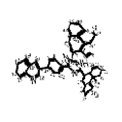 C=Cc1c([C@@H]2N=C(c3ccc(-c4cnc5ccccc5c4)cc3)N=C(C3=Cc4ccccc4C4(C)CC(C)C=CC34)N2)cc2ccccc2c1/C=C\C